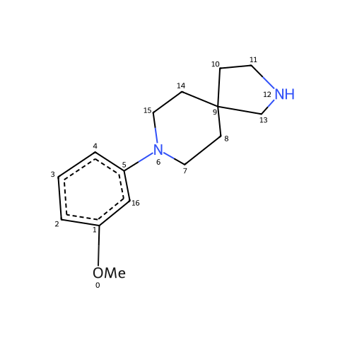 COc1cccc(N2CCC3(CCNC3)CC2)c1